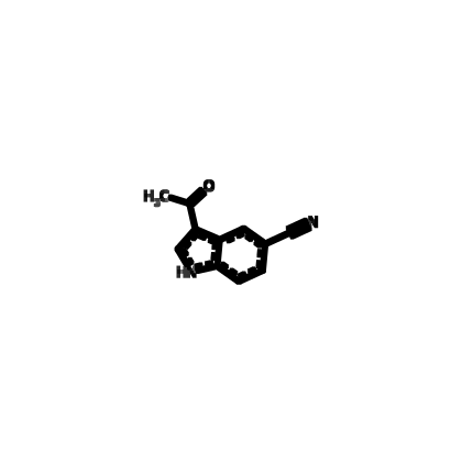 CC(=O)c1c[nH]c2ccc(C#N)cc12